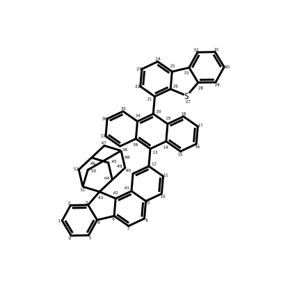 c1ccc2c(c1)-c1ccc3ccc(-c4c5ccccc5c(-c5cccc6c5sc5ccccc56)c5ccccc45)cc3c1C21C2CC3CC(C2)CC1C3